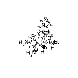 C=C(/C=C\C(=C/C)c1c(C(=O)NCC)n[nH]c1-c1cc(C(C)C)c(N)cc1ON)CN1CCOCC1